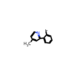 Cc1ccnc(-c2cccc[c]2[Ir])c1